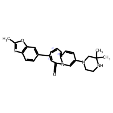 Cc1nc2ccc(C3=C\C(=O)N4C=C(N5CCNC(C)(C)C5)C=C\C4=C/C=C/3)cc2o1